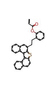 C=CC(=O)Oc1ccccc1CCc1cc2ccccc2c2c1sc1ccc3ccccc3c12